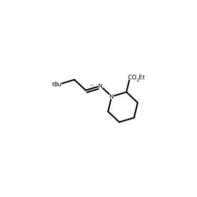 CCOC(=O)C1CCCCN1/N=C/CC(C)(C)C